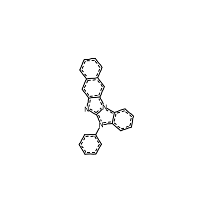 c1ccc(-n2c3ccccc3n3c4cc5ccccc5cc4nc23)cc1